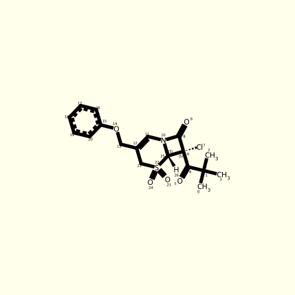 CC(C)(C)C(=O)[C@]1(Cl)C(=O)N2C=C(COc3ccccc3)CS(=O)(=O)[C@H]21